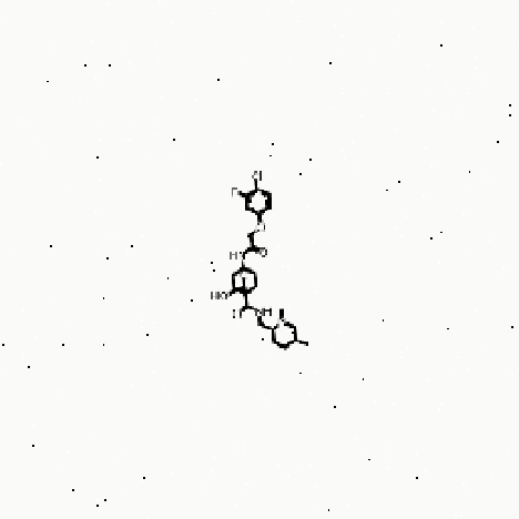 CC1CCC(CNC(=O)C23CCC(NC(=O)COc4ccc(Cl)c(F)c4)(CC2)CC3O)N(C)C1